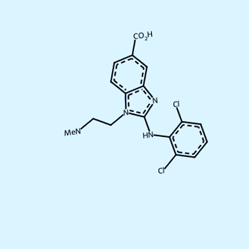 CNCCn1c(Nc2c(Cl)cccc2Cl)nc2cc(C(=O)O)ccc21